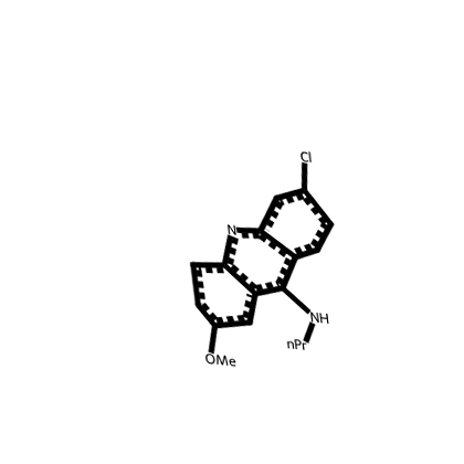 CCCNc1c2ccc(Cl)cc2nc2ccc(OC)cc12